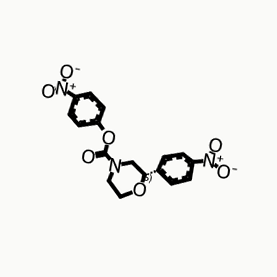 O=C(Oc1ccc([N+](=O)[O-])cc1)N1CCO[C@@H](c2ccc([N+](=O)[O-])cc2)C1